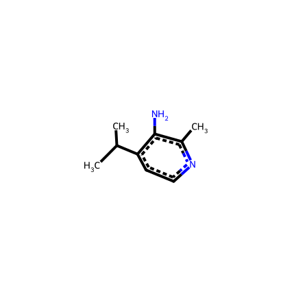 Cc1nccc(C(C)C)c1N